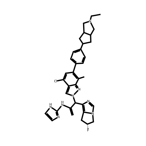 C=C(Nc1ncc[nH]1)C(c1ncn2c1C[C@@H](F)C2)n1cc2c(Cl)cc(-c3ccc(C4CC5CN(CC)CC5C4)cc3)c(C)c2n1